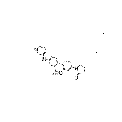 C[C@@H]1Oc2cc(N3CCCC3=O)ccc2-c2cnc(Nc3cccnc3)cc21